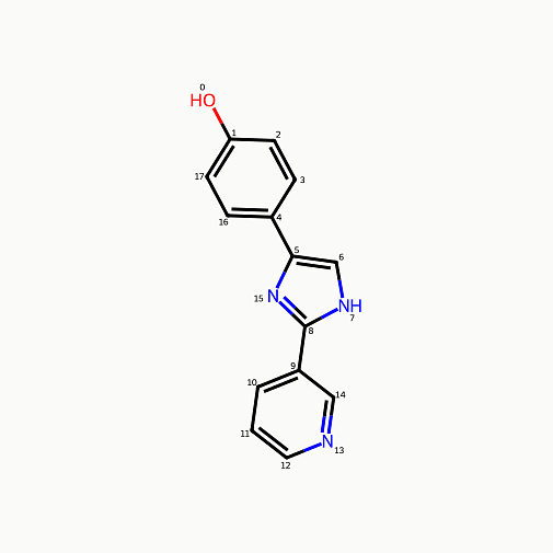 Oc1ccc(-c2c[nH]c(-c3cccnc3)n2)cc1